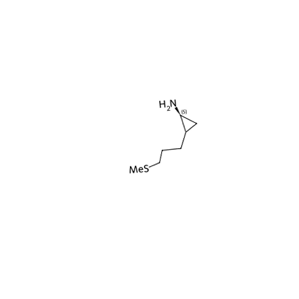 CSCCCC1C[C@@H]1N